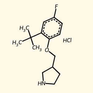 CC(C)(C)c1cc(F)ccc1OCC1CCNC1.Cl